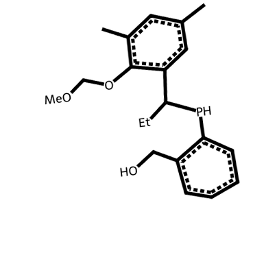 CCC(Pc1ccccc1CO)c1cc(C)cc(C)c1OCOC